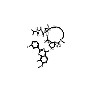 COc1ccc2c(O[C@@H]3C[C@H]4C(=O)N[C@]5(C(=O)NS(=O)(=O)C(C)C)C[C@H]5/C=C\CCCCN(C)C(=O)[C@@H]4C3)nc(-c3cccc(F)c3)nc2c1C